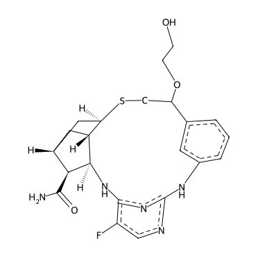 NC(=O)[C@H]1[C@H]2C[C@H]3[C@H]1Nc1nc(ncc1F)Nc1cccc(c1)C(OCCO)CS[C@@H]3C2